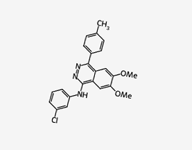 COc1cc2c(Nc3cccc(Cl)c3)nnc(-c3ccc(C)cc3)c2cc1OC